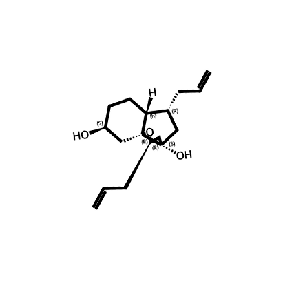 C=CC[C@@H]1C[C@@]2(O)C[C@@H](CC=C)[C@H]3CC[C@H](O)C[C@@]32O1